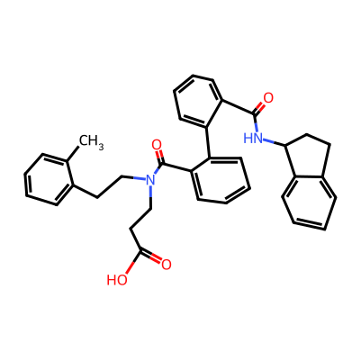 Cc1ccccc1CCN(CCC(=O)O)C(=O)c1ccccc1-c1ccccc1C(=O)NC1CCc2ccccc21